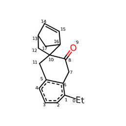 CCc1cccc2c1CC(=O)C1(C2)CC2C=CC1C2